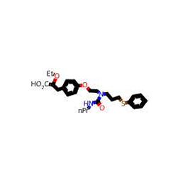 CCCNC(=O)N(CCCSc1ccccc1)CCOc1ccc(CC(OCC)C(=O)O)cc1